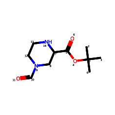 CC(C)(C)OC(=O)C1CN(C=O)CCN1